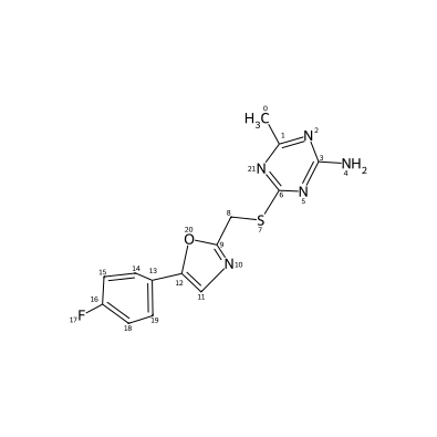 Cc1nc(N)nc(SCc2ncc(-c3ccc(F)cc3)o2)n1